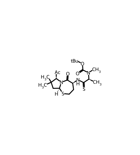 CC(=O)[C@H]1N2C(=O)[C@@H](NC(=S)[C@H](C)N(C)C(=O)OC(C)(C)C)CCS[C@H]2CC1(C)C